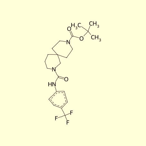 CC(C)(C)OC(=O)N1CCC2(CCCN(C(=O)Nc3ccc(C(F)(F)F)cc3)C2)CC1